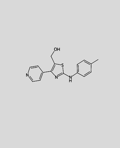 Cc1ccc(Nc2nc(-c3ccncc3)c(CO)s2)cc1